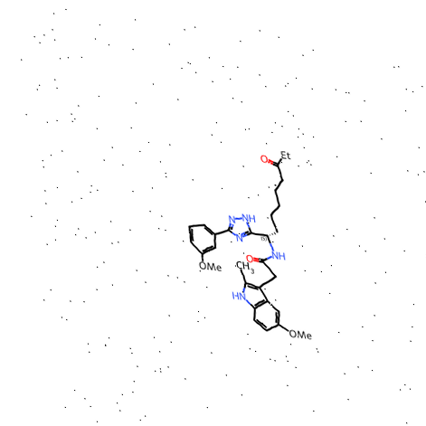 CCC(=O)CCCCC[C@H](NC(=O)Cc1c(C)[nH]c2ccc(OC)cc12)c1nc(-c2cccc(OC)c2)n[nH]1